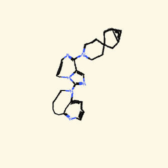 C1=C2CC3(CCN(c4nccn5c(N6CCCc7ncccc76)ncc45)CC3)CC=12